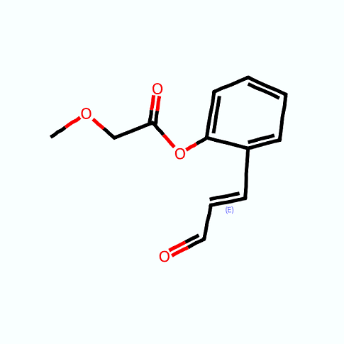 COCC(=O)Oc1ccccc1/C=C/C=O